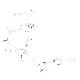 CC[C@H]1OC(=O)[C@H](C)C(=O)[C@H](C)[C@@H](OC2O[C@H](C)C[C@H](N(C)C)[C@H]2O)[C@@](C)(OC)C[C@@H](C)C(=O)[C@H](C)[C@H]2N(CCCCn3cc(-c4ccc(OC)nc4)nc3C)C(=O)O[C@]12C